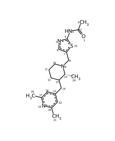 CC(=O)Nc1ncc(CN2CCCC(Cc3cc(C)nc(C)c3)[C@H]2C)s1